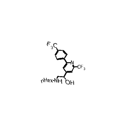 CCCCCCNC[C@H](O)c1cc(-c2ccc(C(F)(F)F)cc2)nc(C(F)(F)F)c1